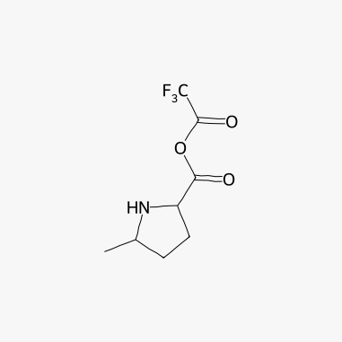 CC1CCC(C(=O)OC(=O)C(F)(F)F)N1